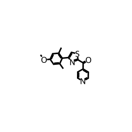 COc1cc(C)c(-c2csc(C(=O)c3ccncc3)n2)c(C)c1